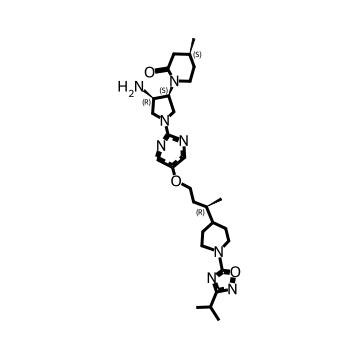 CC(C)c1noc(N2CCC([C@H](C)CCOc3cnc(N4C[C@@H](N)[C@@H](N5CC[C@H](C)CC5=O)C4)nc3)CC2)n1